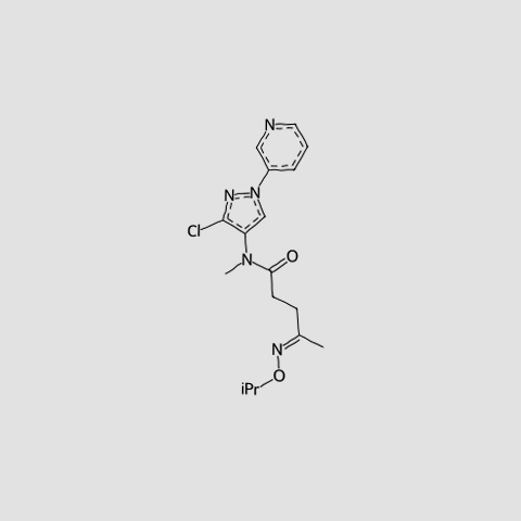 CC(CCC(=O)N(C)c1cn(-c2cccnc2)nc1Cl)=NOC(C)C